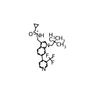 CC(C)(C)Cn1cc(CN[S+]([O-])C2CC2)c2ccc(-c3ccncc3C(F)(F)F)cc21